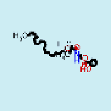 CC/C=C\C/C=C\C/C=C\C/C=C\C/C=C\CCCCOC(CC)(CC)C(=O)NCCOC(=O)c1ccccc1O